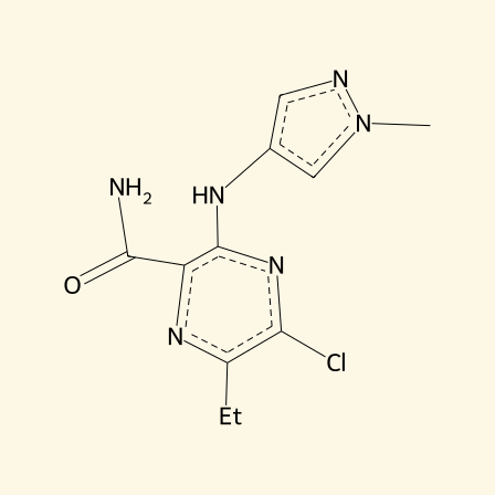 CCc1nc(C(N)=O)c(Nc2cnn(C)c2)nc1Cl